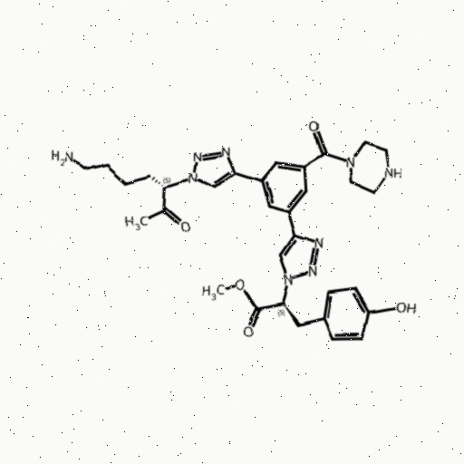 COC(=O)[C@H](Cc1ccc(O)cc1)n1cc(-c2cc(C(=O)N3CCNCC3)cc(-c3cn([C@@H](CCCCN)C(C)=O)nn3)c2)nn1